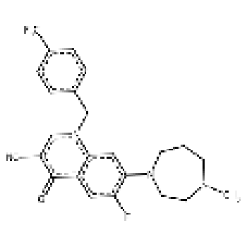 CN1CCCN(c2cc3c(cc2F)c(=O)c(C#N)cn3Cc2ccc(C(F)(F)F)cc2)CC1